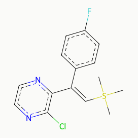 CS(C)(C)/C=C(\c1ccc(F)cc1)c1nccnc1Cl